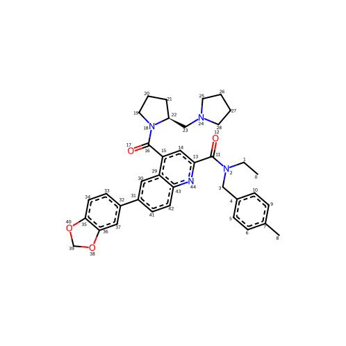 CCN(Cc1ccc(C)cc1)C(=O)c1cc(C(=O)N2CCC[C@H]2CN2CCCC2)c2cc(-c3ccc4c(c3)OCO4)ccc2n1